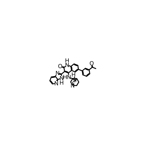 CC(=O)c1cccc(-c2ccc3[nH]c(=O)c(-c4nc5cccnc5[nH]4)c(N[C@H]4CN5CCC4CC5)c3c2)c1